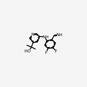 CC(C)(O)c1cncc(Nc2cc(F)c(F)cc2C=N)c1